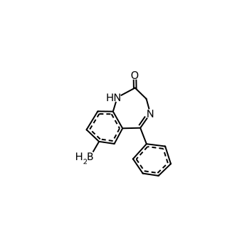 Bc1ccc2c(c1)C(c1ccccc1)=NCC(=O)N2